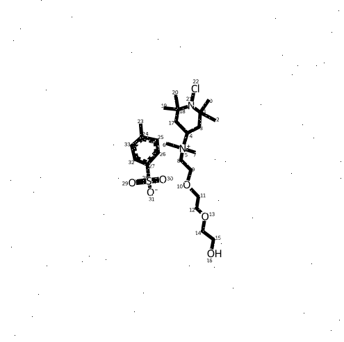 CC1(C)CC([N+](C)(C)CCOCCOCCO)CC(C)(C)N1Cl.Cc1ccc(S(=O)(=O)[O-])cc1